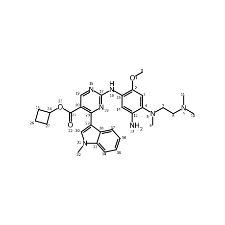 COc1cc(N(C)CCN(C)C)c(N)cc1Nc1ncc(C(=O)OC2CCC2)c(-c2cn(C)c3ccccc23)n1